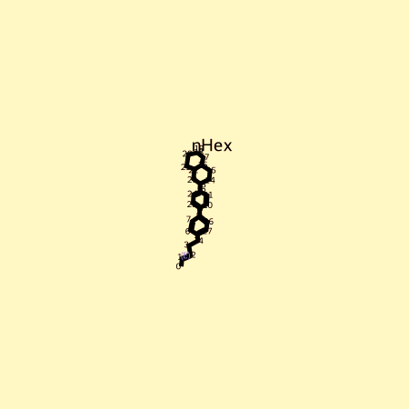 C/C=C/CCc1ccc(-c2ccc(C3CCC4CC(CCCCCC)CCC4C3)cc2)cc1